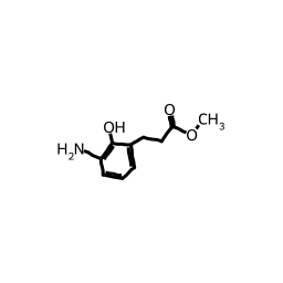 COC(=O)CCc1cccc(N)c1O